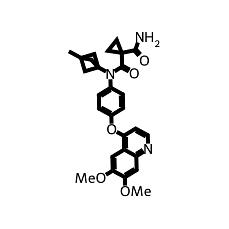 COc1cc2nccc(Oc3ccc(N(C(=O)C4(C(N)=O)CC4)C45CC(C)(C4)C5)cc3)c2cc1OC